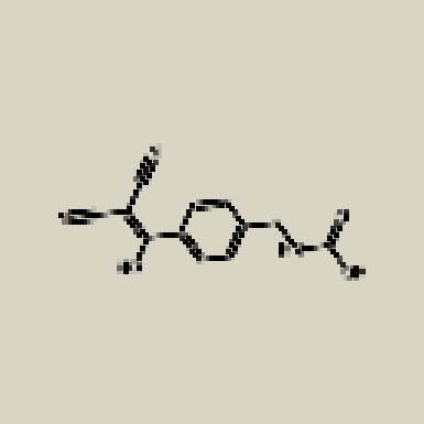 N#CC(C#N)=C(O)c1ccc(CNC(=O)O)cc1